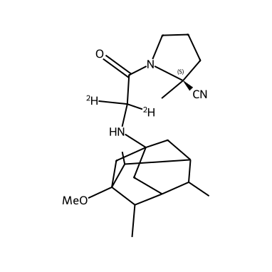 [2H]C([2H])(NC12CC3C(C)C(C1)C(C)C(OC)(C2)C3C)C(=O)N1CCC[C@@]1(C)C#N